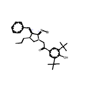 CCCC1CN(CC(=O)c2cc(C(C)(C)C)c(O)c(C(C)(C)C)c2)C(=N\Br)/C1=C/c1ccccc1